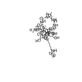 CC[C@H](C)[C@@H]1NC(=O)CNC(=O)C2Cc3c([nH]c4cc(OCCCCCCNC(=O)OC(C)(C)C)ccc34)[S+]([O-])CC(NC(=O)CNC1=O)C(=O)N[C@@H](CC(N)=O)C(=O)N1C[C@H](O)C[C@H]1C(=O)N[C@@H]([C@@H](C)[C@@H](O)CO)C(=O)N2